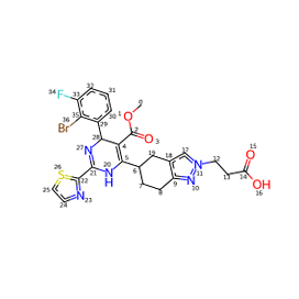 COC(=O)C1=C(C2CCc3nn(CCC(=O)O)cc3C2)NC(c2nccs2)=NC1c1cccc(F)c1Br